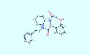 O=C(NCCc1ccccc1)C1c2ccccc2OCC(=O)N1C1CCCCC1